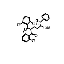 CCCCC(CCC(C(=O)c1c(Cl)cccc1Cl)C(=O)c1c(Cl)cccc1Cl)[PH](=O)c1ccccc1